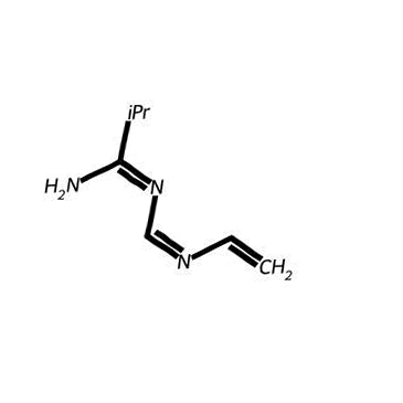 C=C/N=C\N=C(/N)C(C)C